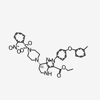 CCOC(=O)c1c2c(nn1-c1ccc(Oc3cccc(C)c3)cc1)[C@@H](N1CCN(S(=O)(=O)c3ccccc3[N+](=O)[O-])CC1)CCN2